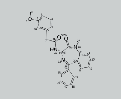 COc1cccc(CC(=O)N[C@H]2N=C(c3ccccc3)c3ccccc3N(C)C2=O)c1